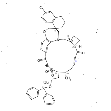 C[C@H]1C/C=C/C(=O)[C@@H]2CC[C@H]2CN2C[C@@]3(CCCc4cc(Cl)ccc43)COc3ccc(cc32)C(=O)NS(=O)(=O)[C@@H]1CCO[Si](c1ccccc1)(c1ccccc1)C(C)(C)C